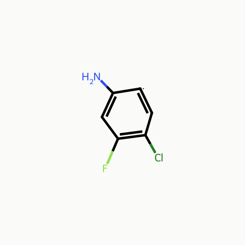 Nc1[c]cc(Cl)c(F)c1